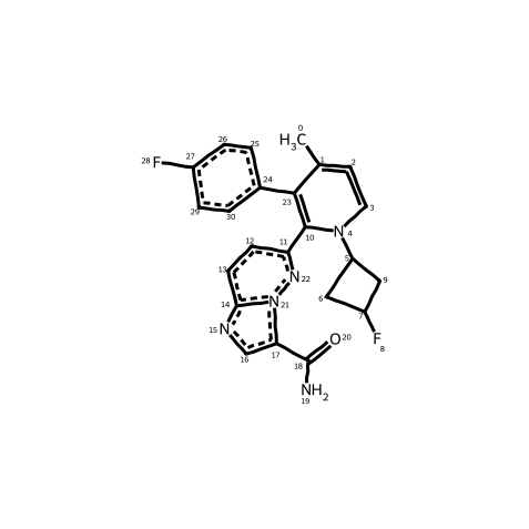 CC1=C=CN(C2CC(F)C2)C(c2ccc3ncc(C(N)=O)n3n2)=C1c1ccc(F)cc1